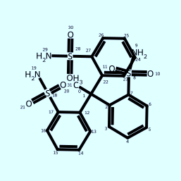 CC(c1ccccc1S(N)(=O)=O)(c1ccccc1S(N)(=O)=O)c1ccccc1S(N)(=O)=O